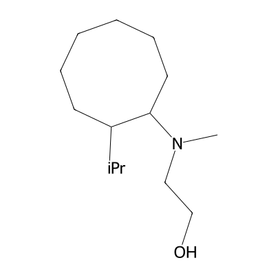 CC(C)C1CCCCCCC1N(C)CCO